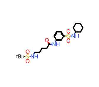 CC(C)(C)S(=O)(=O)NCCCCC(=O)Nc1cccc(S(=O)(=O)NC2CCCCC2)c1